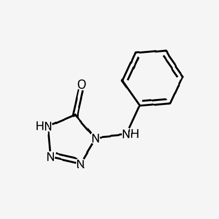 O=c1[nH]nnn1Nc1ccccc1